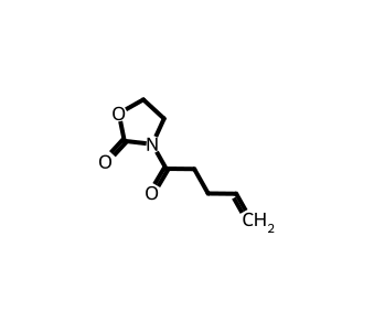 C=CCCC(=O)N1CCOC1=O